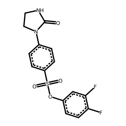 O=C1NCCN1c1ccc(S(=O)(=O)Oc2ccc(F)c(F)c2)cc1